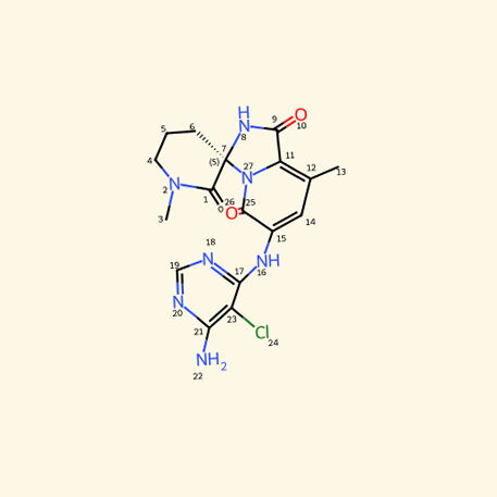 C=C1N(C)CCC[C@@]12NC(=O)c1c(C)cc(Nc3ncnc(N)c3Cl)c(=O)n12